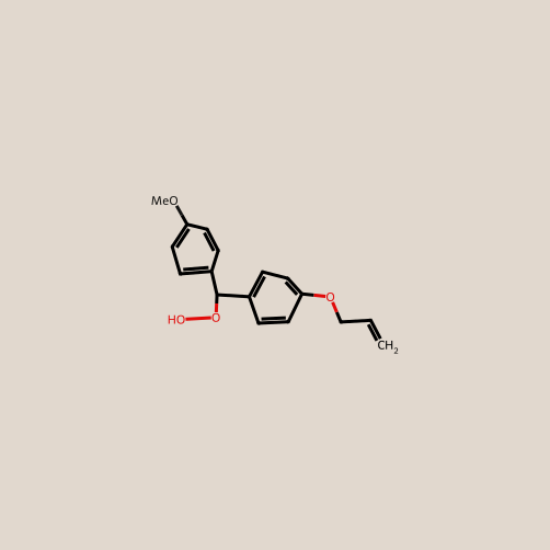 C=CCOc1ccc(C(OO)c2ccc(OC)cc2)cc1